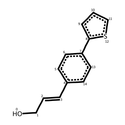 OCC=Cc1ccc(-c2cccs2)cc1